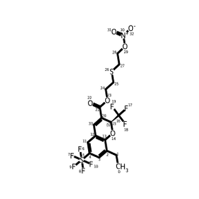 CCc1cc(S(F)(F)(F)(F)F)cc2c1O[C@H](C(F)(F)F)C(C(=O)OCCSCCO[N+](=O)[O-])=C2